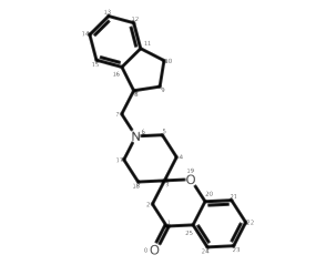 O=C1CC2(CCN(CC3CCc4ccccc43)CC2)Oc2ccccc21